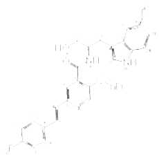 CCCOc1ccc(/C=C/c2ccc(F)cc2)cc1C(=O)NC(CO)Cc1c[nH]c2ccc(F)cc12